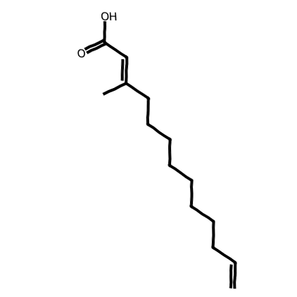 C=CCCCCCCCC/C(C)=C/C(=O)O